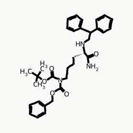 CC(C)(C)OC(=O)N(CCCC[C@H](NCC(c1ccccc1)c1ccccc1)C(N)=O)C(=O)OCc1ccccc1